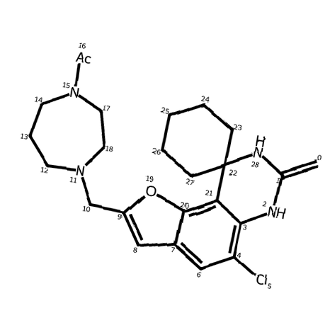 C=C1Nc2c(Cl)cc3cc(CN4CCCN(C(C)=O)CC4)oc3c2C2(CCCCC2)N1